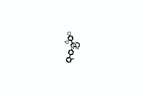 COc1cc(Cl)ccc1C1=CN(c2ccc(-c3ccccc3C)cc2)C2=NCCCN12